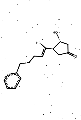 O=C1C[C@@H](O)[C@H](C(O)=CCCCc2ccccc2)C1